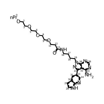 CCCOCCOCCOCCOCCC(=O)NCCCCn1nc(-c2cnc3[nH]ccc3c2)c2c(N)ncnc21